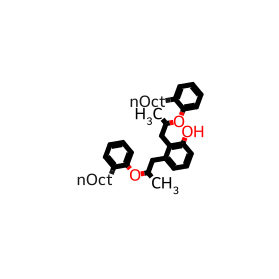 CCCCCCCCc1ccccc1OC(C)Cc1cccc(O)c1CC(C)Oc1ccccc1CCCCCCCC